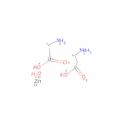 NCC(=O)O.NCC(=O)O.O.[Zn]